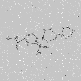 O=C(NO)c1ccc(N2CCN(C3CCCCC3)CC2)c([N+](=O)O)c1